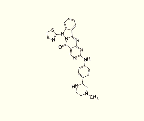 CN1CCNC(c2ccc(Nc3ncc4c(=O)n5c(nc4n3)c3ccccc3n5-c3nccs3)cc2)C1